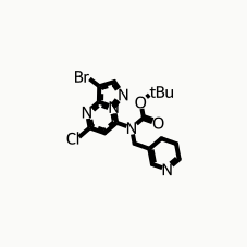 CC(C)(C)OC(=O)N(CC1=CN=CCC1)c1cc(Cl)nc2c(Br)cnn12